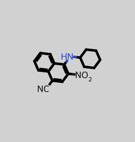 N#Cc1cc([N+](=O)[O-])c(NC2CCCCC2)c2ccccc12